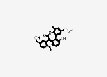 Cc1cc(C(=O)O)cc2c1OC(=O)c1c3cc(CO)ccc3[n+](C)c3ccc(O)c-2c13